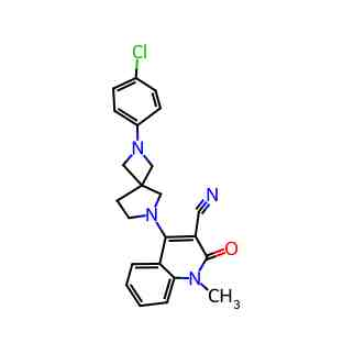 Cn1c(=O)c(C#N)c(N2CCC3(CN(c4ccc(Cl)cc4)C3)C2)c2ccccc21